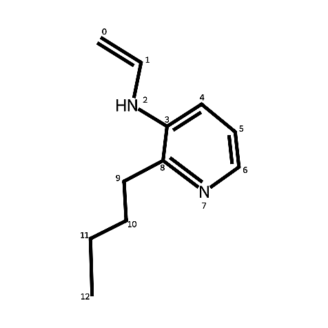 C=CNc1cccnc1CCCC